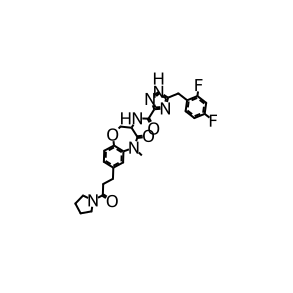 CN1C(=O)C(NC(=O)c2n[nH]c(Cc3ccc(F)cc3F)n2)COc2ccc(CCC(=O)N3CCCC3)cc21